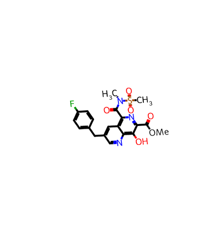 COC(=O)c1nc(C(=O)N(C)S(C)(=O)=O)c2cc(Cc3ccc(F)cc3)cnc2c1O